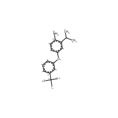 CC(C)c1cc(Oc2cccc(C(F)(F)F)c2)ccc1N